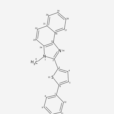 Cn1c(-c2ccc(-c3ccccc3)s2)nc2c3ccccc3ccc21